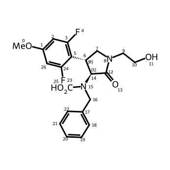 COc1cc(F)c([C@@H]2CN(CCO)C(=O)[C@H]2N(Cc2ccccc2)C(=O)O)c(F)c1